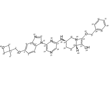 CC1(COc2ccc3c(c2)ncn3-c2cncc(N[C@@H]3CC[C@H]4C(O)=C(OCc5ccccc5)N4C3)n2)COC1